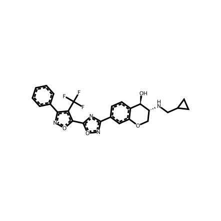 O[C@@H]1c2ccc(-c3noc(-c4onc(-c5ccccc5)c4C(F)(F)F)n3)cc2OC[C@H]1NCC1CC1